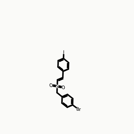 O=S(=O)(/C=C/c1ccc(I)cc1)Cc1ccc(Br)cc1